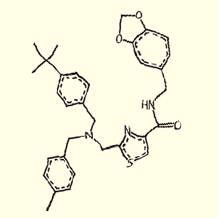 Cc1ccc(CN(Cc2ccc(C(C)(C)C)cc2)Cc2nc(C(=O)NCc3ccc4c(c3)OCO4)cs2)cc1